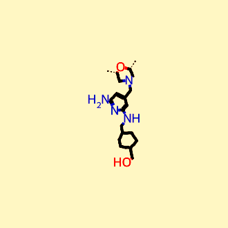 C[C@@H]1CN(Cc2cc(N)nc(NCC3CCC(CO)CC3)c2)C[C@H](C)O1